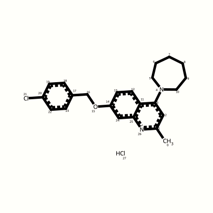 Cc1cc(N2CCCCCC2)c2ccc(OCc3ccc(Cl)cc3)cc2n1.Cl